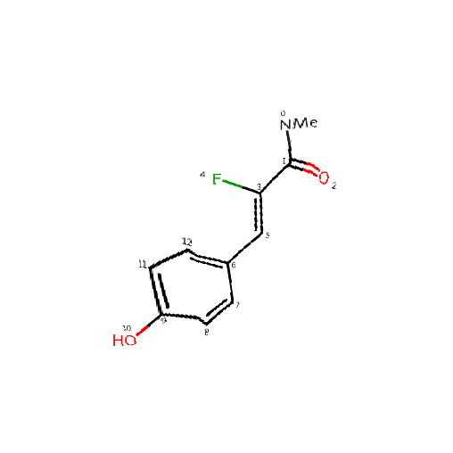 CNC(=O)/C(F)=C/c1ccc(O)cc1